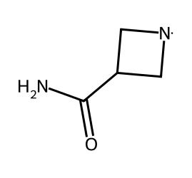 NC(=O)C1C[N]C1